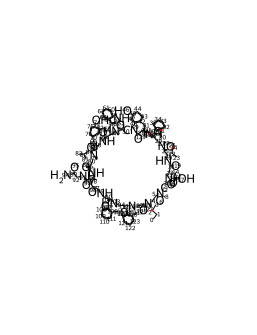 CCCC[C@H]1C(=O)N(C)CC(=O)N[C@@H](CC(=O)O)C(=O)N[C@@H](C(C)C)C(=O)N(C)[C@@H](Cc2ccccc2)C(=O)N[C@H]2Cc3ccc(O)cc3N(CC(=O)N[C@@H](Cc3c[nH]c4ccccc34)C(=O)NC(Cc3ccc(O)cc3)C(=O)N[C@@H](CC(C)C)C(=O)N[C@H](C(=O)NCC(N)=O)CC(=O)NCC(=O)N[C@@H](Cc3ccccc3)C(=O)N(C)[C@@H](Cc3ccccc3)C(=O)N1C)C2=O